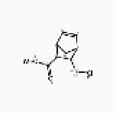 COC(=O)C1C2C=CC(C2)C1NCl